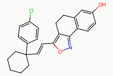 Oc1ccc2c(c1)CCc1c-2noc1/C=C/C1(c2ccc(Cl)cc2)CCCCC1